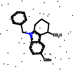 COc1ccc2c(c1)c1c(n2Cc2ccccc2)CCCC1C(=O)O